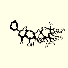 CC1(Oc2cc3oc(-c4ccccc4)cc(=O)c3c(O)c2O)OC(C)(C(=O)O)C(C)(O)C(C)(O)C1(C)O